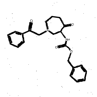 O=C(NC1CN(CC(=O)c2ccccc2)CCCC1=O)OCc1ccccc1